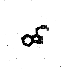 CCc1n[nH]c2c1C=CCC2